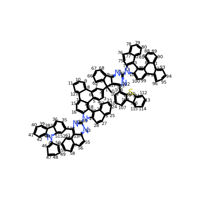 CC1(c2ccc3c(c2)c2ccccc2c2ccc4c(c23)c2c3ccccc3ccc2n4-c2nc(-c3ccc4c5ccccc5n(-c5ccccc5)c4c3)c3c(ccc4ccccc43)n2)c2ccccc2-c2nc(-n3c4ccc5ccccc5c4c4c5c6ccccc6c6ccccc6c5ccc43)nc(-c3cccc4c3sc3ccccc34)c21